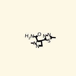 Cc1nnc(-c2cnn(C)c2C(N)=O)s1